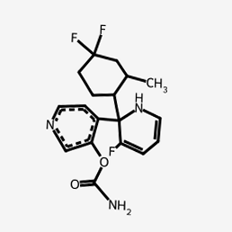 CC1CC(F)(F)CCC1C1(c2ccncc2OC(N)=O)NC=CC=C1F